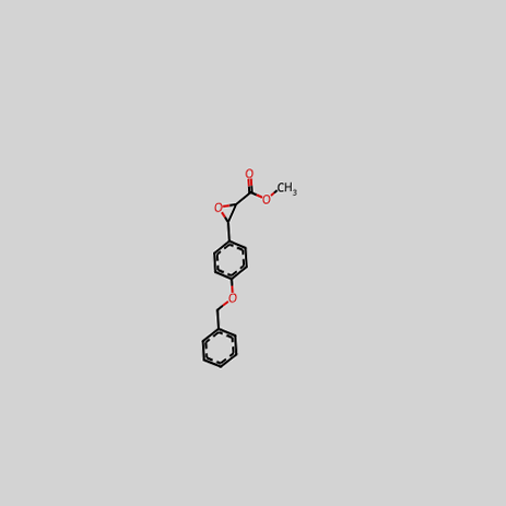 COC(=O)C1OC1c1ccc(OCc2ccccc2)cc1